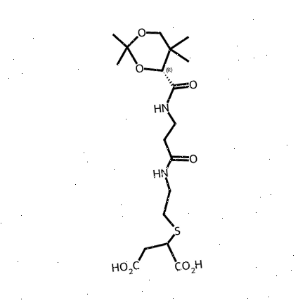 CC1(C)OCC(C)(C)[C@H](C(=O)NCCC(=O)NCCSC(CC(=O)O)C(=O)O)O1